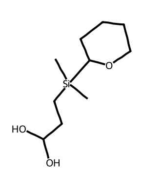 C[Si](C)(CCC(O)O)C1CCCCO1